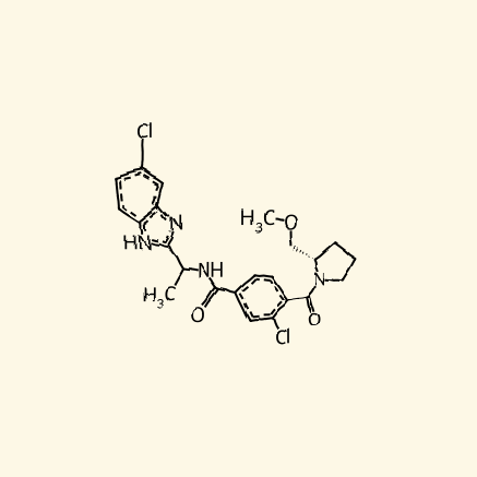 COC[C@@H]1CCCN1C(=O)c1ccc(C(=O)NC(C)c2nc3cc(Cl)ccc3[nH]2)cc1Cl